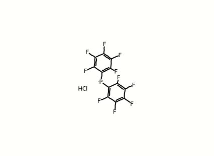 Cl.Fc1c(F)c(F)c([P]c2c(F)c(F)c(F)c(F)c2F)c(F)c1F